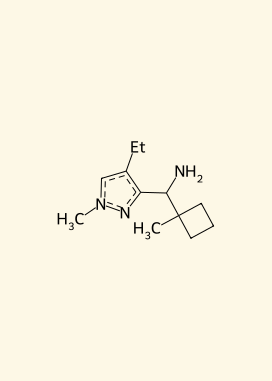 CCc1cn(C)nc1C(N)C1(C)CCC1